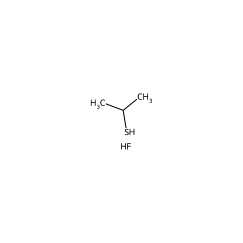 CC(C)S.F